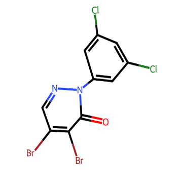 O=c1c(Br)c(Br)cnn1-c1cc(Cl)cc(Cl)c1